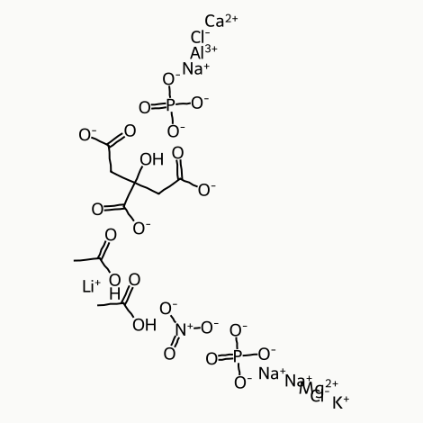 CC(=O)O.CC(=O)O.O=C([O-])CC(O)(CC(=O)[O-])C(=O)[O-].O=P([O-])([O-])[O-].O=P([O-])([O-])[O-].O=[N+]([O-])[O-].[Al+3].[Ca+2].[Cl-].[Cl-].[K+].[Li+].[Mg+2].[Na+].[Na+].[Na+]